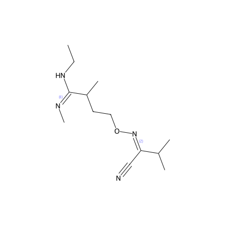 CCN/C(=N/C)C(C)CCO/N=C(\C#N)C(C)C